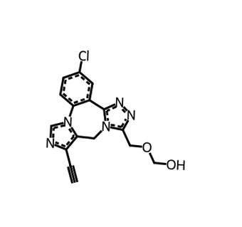 C#Cc1ncn2c1Cn1c(COCO)nnc1-c1cc(Cl)ccc1-2